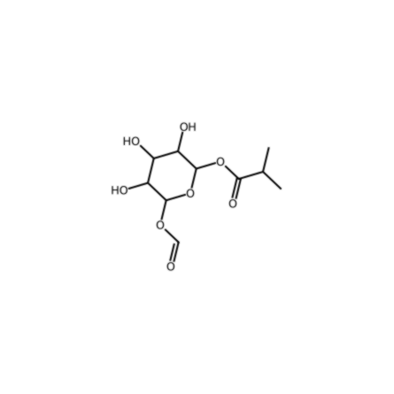 CC(C)C(=O)OC1OC(OC=O)C(O)C(O)C1O